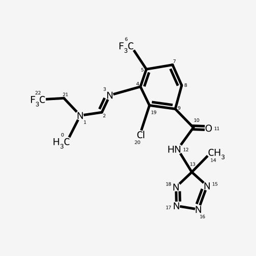 CN(/C=N/c1c(C(F)(F)F)ccc(C(=O)NC2(C)N=NN=N2)c1Cl)CC(F)(F)F